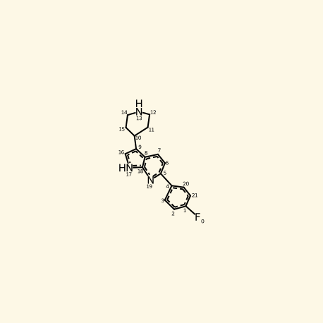 Fc1ccc(-c2ccc3c(C4CCNCC4)c[nH]c3n2)cc1